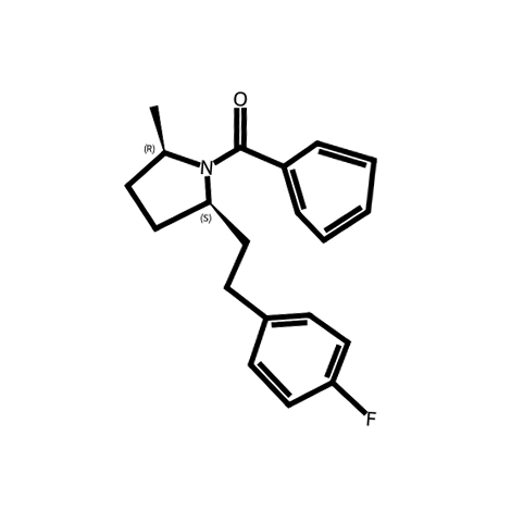 C[C@@H]1CC[C@H](CCc2ccc(F)cc2)N1C(=O)c1ccccc1